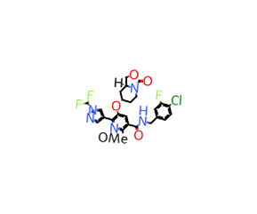 COc1nc(-c2cnn(C(F)F)c2)c(O[C@H]2CCN3C(=O)OC[C@@H]3C2)cc1C(=O)NCc1ccc(Cl)c(F)c1